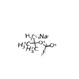 CC(C)(C)OC(=O)F.[Na]